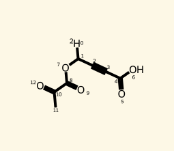 [2H]C(C#CC(=O)O)OC(=O)C(C)=O